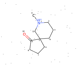 [CH2-][NH+]1CCCC2(CCCC2=O)C1